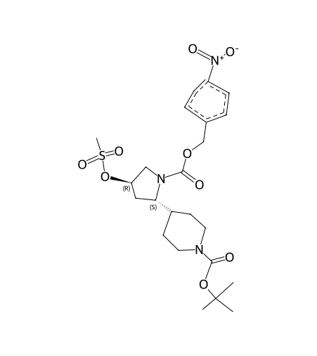 CC(C)(C)OC(=O)N1CCC([C@@H]2C[C@@H](OS(C)(=O)=O)CN2C(=O)OCc2ccc([N+](=O)[O-])cc2)CC1